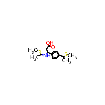 CSC(C)NC(CC(=O)O)c1ccc(C(C)SC)cc1